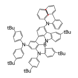 CC(C)(C)c1ccc(N(c2ccc(C(C)(C)C)cc2)c2cc3c4c(c2)N(c2ccc(C(C)(C)C)cc2)c2ccc(C(C)(C)C)cc2B4n2c4ccc(C(C)(C)C)cc4c4c(N(c5ccccc5)c5ccccc5-c5ccccc5)ccc-3c42)cc1